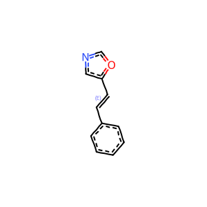 C(=C\c1cnco1)/c1ccccc1